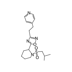 CC(C)CS(=O)(=O)N1CCCCC1c1nc(CCc2ccncc2)no1